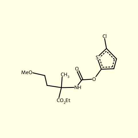 CCOC(=O)C(C)(CCOC)NC(=O)Oc1ccc(Cl)s1